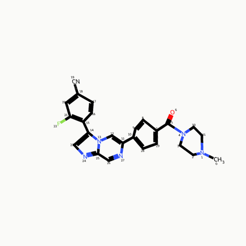 CN1CCN(C(=O)c2ccc(-c3cn4c(-c5ccc(C#N)cc5F)cnc4cn3)cc2)CC1